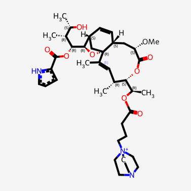 CO[C@H]1C[C@H]2C=C[C@@H]3C[C@]2(O[C@H]3[C@H](OC(=O)c2ccc[nH]2)[C@H](C)[C@H](C)O)/C(C)=C/[C@@H](C)[C@@H]([C@@H](C)OC(=O)CCC[N+]23CCN(CC2)CC3)OC1=O